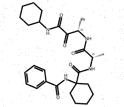 CC(C)[C@H](NC(=O)[C@H](C)NC(=O)C1(NC(=O)c2ccccc2)CCCCC1)C(=O)C(=O)NC1CCCCC1